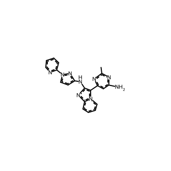 Cc1nc(N)cc(-c2c(Nc3ccn(-c4ccccn4)n3)nc3ccccn23)n1